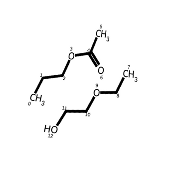 CCCOC(C)=O.CCOCCO